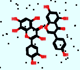 O=c1c(-c2ccc(O)cc2)coc2cc(O)cc(O)c12.O=c1c(O)c(-c2ccc(O)c(O)c2)oc2c(O)c(O)cc(O)c12